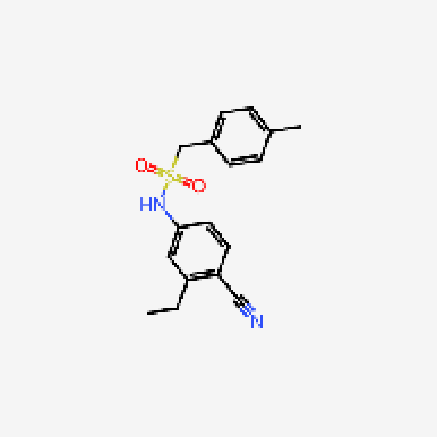 CCc1cc(NS(=O)(=O)Cc2ccc(C)cc2)ccc1C#N